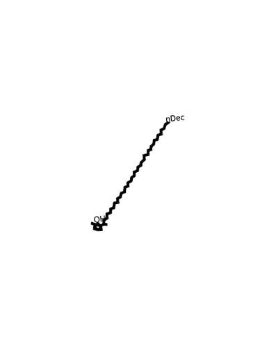 CCCCCCCCCCCCCCCCCCCCCCCCCCCCCCCCCCCCCCCCCCCCCCCCC(C)c1cccc(C)c1O